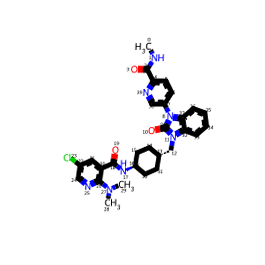 CNC(=O)c1ccc(-n2c(=O)n(C[C@H]3CC[C@H](NC(=O)c4cc(Cl)cnc4N(C)C)CC3)c3ccccc32)cn1